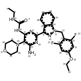 CCNC(=O)Nc1nc(-c2nn(Cc3c(F)cc(OCC)cc3F)c3ccccc23)nc(N)c1N1CCOCC1